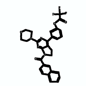 O=C(c1ccc2ccccc2c1)N1CCc2c(-c3cccc(OC(=O)C(F)(F)F)c3)nc(N3CCOCC3)nc21